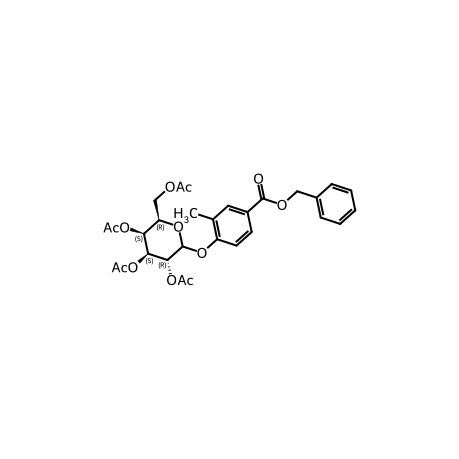 CC(=O)OC[C@H]1OC(Oc2ccc(C(=O)OCc3ccccc3)cc2C)[C@H](OC(C)=O)[C@@H](OC(C)=O)[C@H]1OC(C)=O